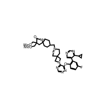 COCC1(COC)CC2(CCC(CN3CCC4(CC3)CN(c3ncnnc3Oc3ccc(F)cc3-c3cncnc3C3CC3)C4)CC2)NC1=O